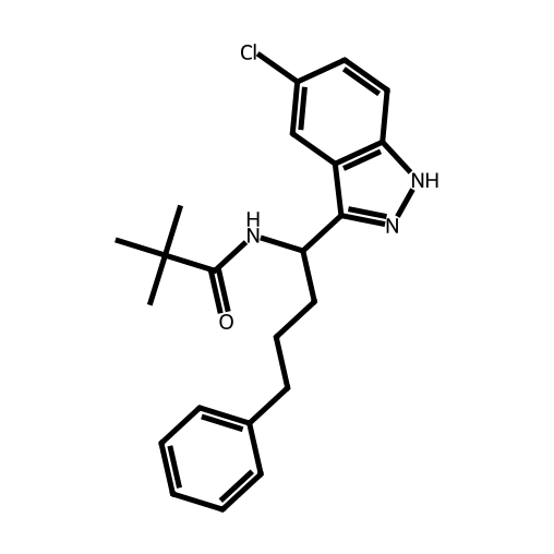 CC(C)(C)C(=O)NC(CCCc1ccccc1)c1n[nH]c2ccc(Cl)cc12